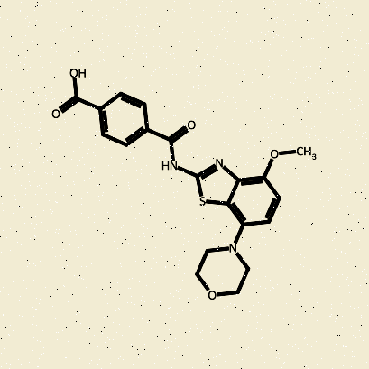 COc1ccc(N2CCOCC2)c2sc(NC(=O)c3ccc(C(=O)O)cc3)nc12